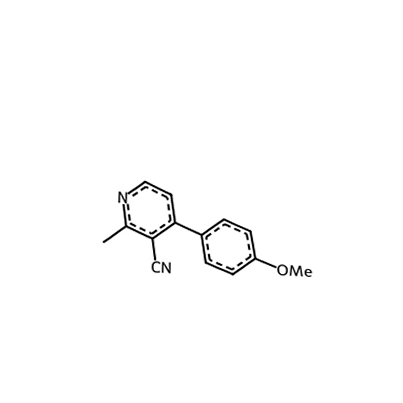 COc1ccc(-c2ccnc(C)c2C#N)cc1